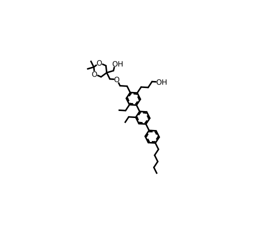 CCCCCc1ccc(-c2ccc(-c3cc(CCCO)c(CCOCC4(CO)COC(C)(C)OC4)cc3CC)c(CC)c2)cc1